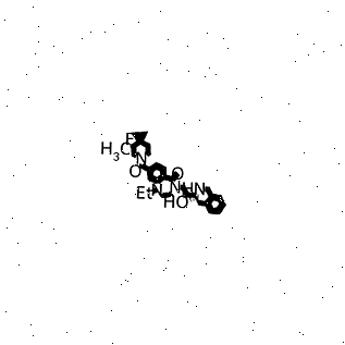 CCN1CCN(C[C@@H](O)[C@@H]2Cc3ccccc3CN2)C(=O)c2ccc(C(=O)N3CCC4(CC4)C(C)(F)C3)cc21